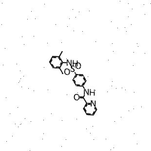 Cc1cccc(C)c1NS(=O)(=O)c1ccc(NC(=O)c2ccccn2)cc1